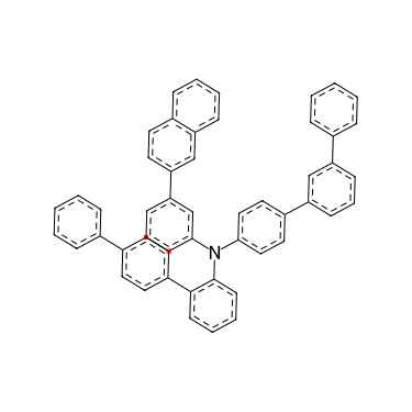 c1ccc(-c2ccc(-c3ccccc3N(c3ccc(-c4cccc(-c5ccccc5)c4)cc3)c3cccc(-c4ccc5ccccc5c4)c3)cc2)cc1